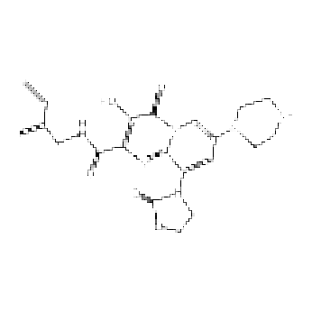 C=CC(=C)CNC(=O)c1nc2c(N3CCOC3=O)cc(N3CCNCC3)cn2c(=O)c1O